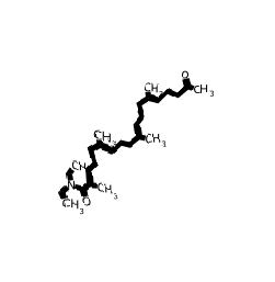 CCN(CC)C(=O)C(C)=CCCC(C)=CCCC(C)=CCCC(C)=CCCC(C)=O